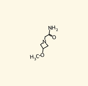 COC1CN(CC(N)=O)C1